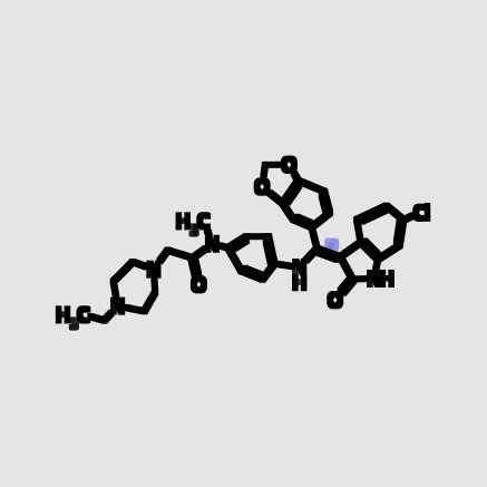 CCN1CCN(CC(=O)N(C)c2ccc(N/C(=C3\C(=O)Nc4cc(Cl)ccc43)c3ccc4c(c3)OCO4)cc2)CC1